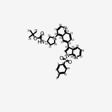 Cc1ccc(S(=O)(=O)n2cc(-c3ccc4nccc(N5CC[C@H](NC(=O)OC(C)(C)C)C5)c4c3)c3cccnc32)cc1